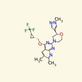 Cc1cc2c(OC[C@@H]3C[C@H]3C(F)(F)F)nc(N3CCO[C@H](c4cnn(C)c4)C3)nc2nc1C